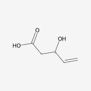 C=C[C](O)CC(=O)O